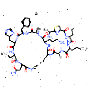 CCC(C)C(N)C1=NC(C(=O)NC(CC(C)C)C(=O)NC(CCC(=O)O)C(=O)NC(C(=O)NC2CCCCNC(=O)C(CC(N)=O)NC(=O)C(CC(=O)O)NC(=O)C(CC3C=NC=N3)NC(=O)C(Cc3ccccc3)NC(=O)C(C(C)CC)NC(=O)C(CCCN)NC2=O)C(C)CC)CS1.[Zn]